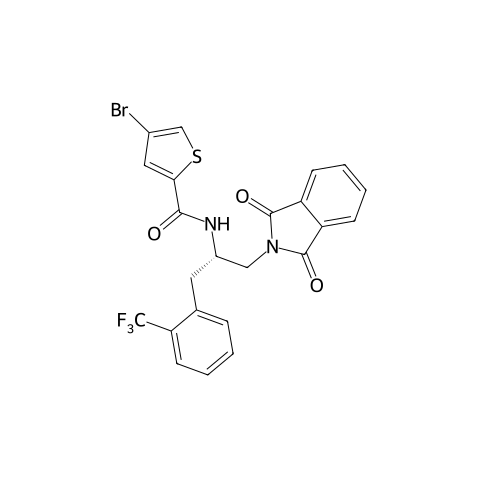 O=C(N[C@@H](Cc1ccccc1C(F)(F)F)CN1C(=O)c2ccccc2C1=O)c1cc(Br)cs1